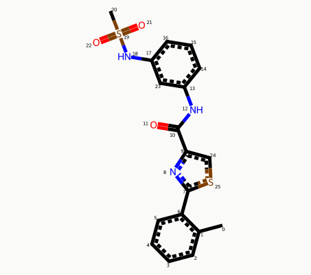 Cc1ccccc1-c1nc(C(=O)Nc2cccc(NS(C)(=O)=O)c2)cs1